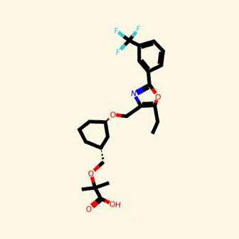 CCc1oc(-c2cccc(C(F)(F)F)c2)nc1CO[C@H]1CCC[C@@H](COC(C)(C)C(=O)O)C1